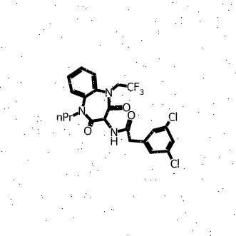 CCCN1C(=O)C(NC(=O)Cc2cc(Cl)cc(Cl)c2)C(=O)N(CC(F)(F)F)c2ccccc21